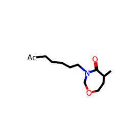 CC(=O)CCCCCN1COCCC(C)C1=O